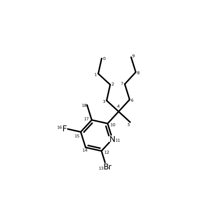 CCCCC(C)(CCCC)c1nc(Br)cc(F)c1C